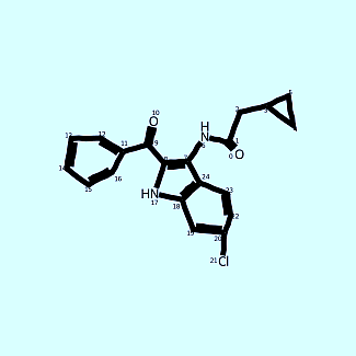 O=C(CC1CC1)Nc1c(C(=O)c2ccccc2)[nH]c2cc(Cl)ccc12